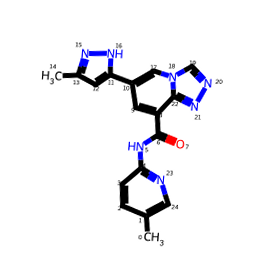 Cc1ccc(NC(=O)c2cc(-c3cc(C)n[nH]3)cn3cnnc23)nc1